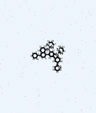 c1ccc(-c2ccc3c4c(cccc24)N(c2ncccn2)c2cc4c(cc2-3)c2cc(-c3ccccn3)ccc2n4-c2ncccn2)cc1